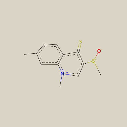 Cc1ccc2c(=S)c([S+](C)[O-])cn(C)c2c1